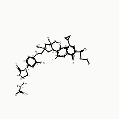 CCOC(=O)c1cn(C2CC2)c2c3c(c(F)cc2c1=O)N1C[C@](O)(COc2ccc(N4C[C@H](CNC(C)=O)OC4=O)cc2F)C[C@@H]1CO3